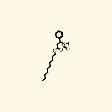 CCCCCCCCCCOC(=O)CC(NC=O)c1ccccc1